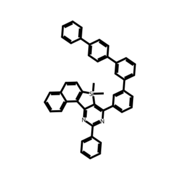 C[Si]1(C)c2ccc3ccccc3c2-c2nc(-c3ccccc3)nc(-c3cccc(-c4cccc(-c5ccc(-c6ccccc6)cc5)c4)c3)c21